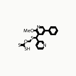 COc1ncc(-c2ccccc2)cc1C(SCOC(=S)S)c1cccnc1